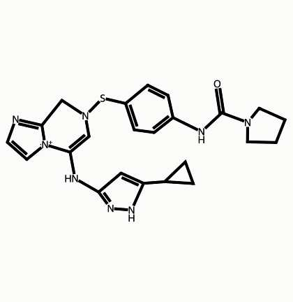 O=C(Nc1ccc(SN2C=C(Nc3cc(C4CC4)[nH]n3)[N+]3C=CN=C3C2)cc1)N1CCCC1